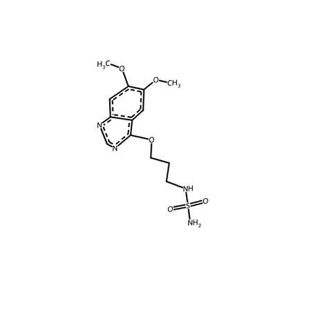 COc1cc2ncnc(OCCCNS(N)(=O)=O)c2cc1OC